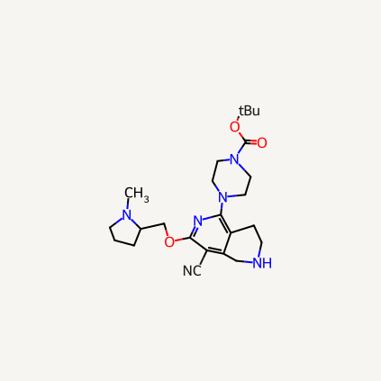 CN1CCCC1COc1nc(N2CCN(C(=O)OC(C)(C)C)CC2)c2c(c1C#N)CNCC2